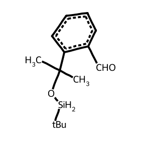 CC(C)(C)[SiH2]OC(C)(C)c1ccccc1C=O